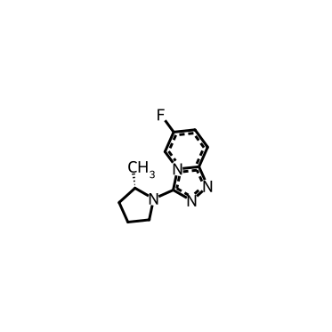 C[C@H]1CCCN1c1nnc2ccc(F)cn12